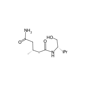 CC(C)[C@@H](CO)NC(=O)[CH][C@H](C)CC(N)=O